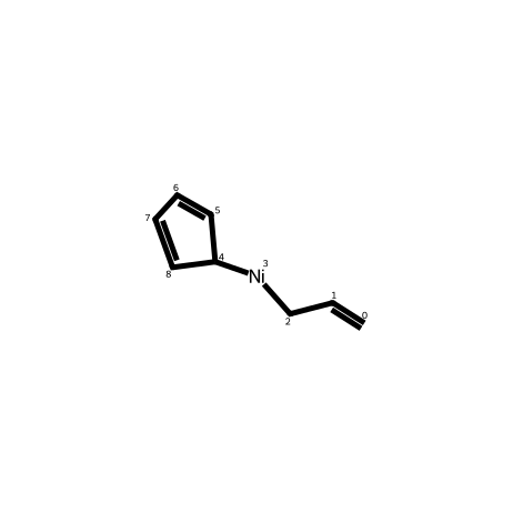 C=C[CH2][Ni][CH]1C=CC=C1